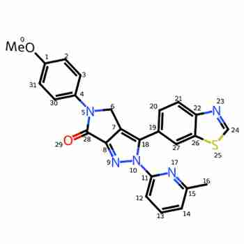 COc1ccc(N2Cc3c(nn(-c4cccc(C)n4)c3-c3ccc4ncsc4c3)C2=O)cc1